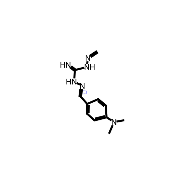 C=NNC(=N)N/N=C/c1ccc(N(C)C)cc1